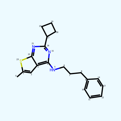 Cc1cc2c(NCCCc3ccccc3)nc(C3CCC3)nc2s1